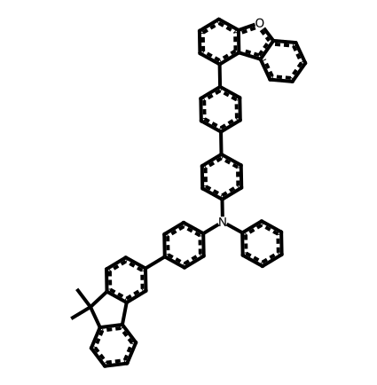 CC1(C)c2ccccc2-c2cc(-c3ccc(N(c4ccccc4)c4ccc(-c5ccc(-c6cccc7oc8ccccc8c67)cc5)cc4)cc3)ccc21